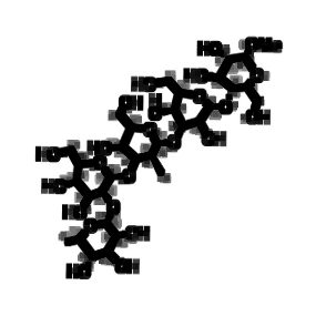 CO[C@@H]1OC(CO)[C@H](O[C@H]2OC(CO)[C@H](O)[C@H](O[C@@H]3OC(CO)[C@H](O)C(O[C@@H]4OC(CO)[C@H](O)C(O)[C@@H]4O[C@@H]4OC(C)[C@@H](O)C(O)[C@@H]4O)[C@@H]3C)C2O)C(O)[C@@H]1O